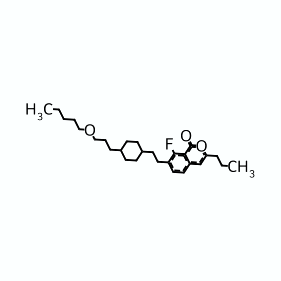 CCCCCOCCCC1CCC(CCc2ccc3cc(CCC)oc(=O)c3c2F)CC1